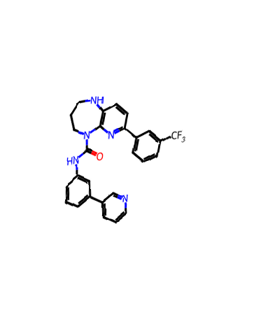 O=C(Nc1cccc(-c2cccnc2)c1)N1CCCNc2ccc(-c3cccc(C(F)(F)F)c3)nc21